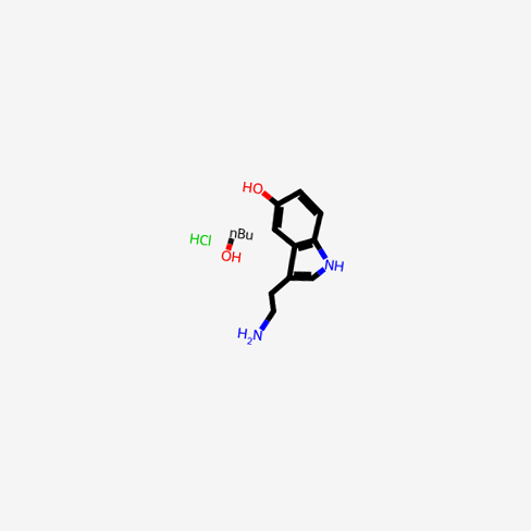 CCCCO.Cl.NCCc1c[nH]c2ccc(O)cc12